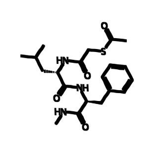 CNC(=O)[C@H](Cc1ccccc1)NC(=O)[C@H](CC(C)C)NC(=O)CSC(C)=O